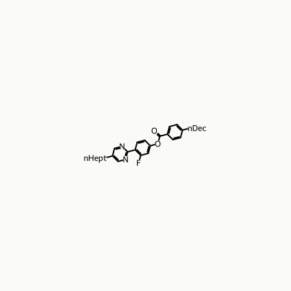 CCCCCCCCCCc1ccc(C(=O)Oc2ccc(-c3ncc(CCCCCCC)cn3)c(F)c2)cc1